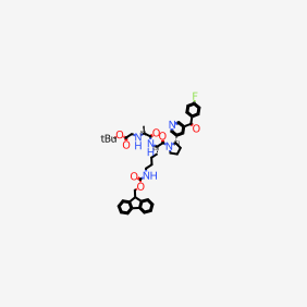 C[C@H](NCC(=O)OC(C)(C)C)C(=O)N[C@@H](CCCCNC(=O)OCC1c2ccccc2-c2ccccc21)C(=O)N1CCC[C@H]1c1cncc(C(=O)c2ccc(F)cc2)c1